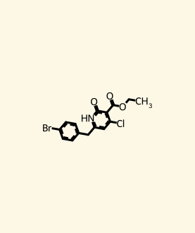 CCOC(=O)c1c(Cl)cc(Cc2ccc(Br)cc2)[nH]c1=O